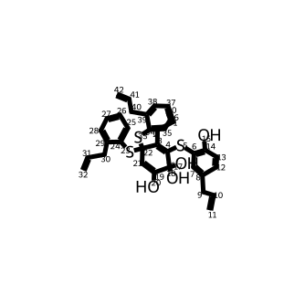 C=CCC1=C(Sc2cc(CC=C)ccc2O)C(O)(O)C(O)=CC1(Sc1ccccc1CC=C)Sc1ccccc1CC=C